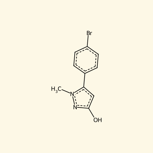 Cn1nc(O)cc1-c1ccc(Br)cc1